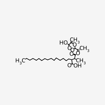 CCCCCCCCCCCCCCCCC(C(=O)O)C(C)C(=O)O[C@@H](C)C(=O)O[C@@H](C)C(=O)O